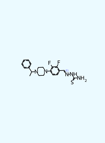 CC(c1ccccc1)N1CCN(c2ccc(/C=N/NC(N)=S)c(F)c2F)CC1